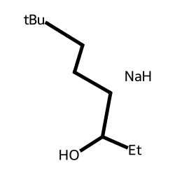 CCC(O)CCCC(C)(C)C.[NaH]